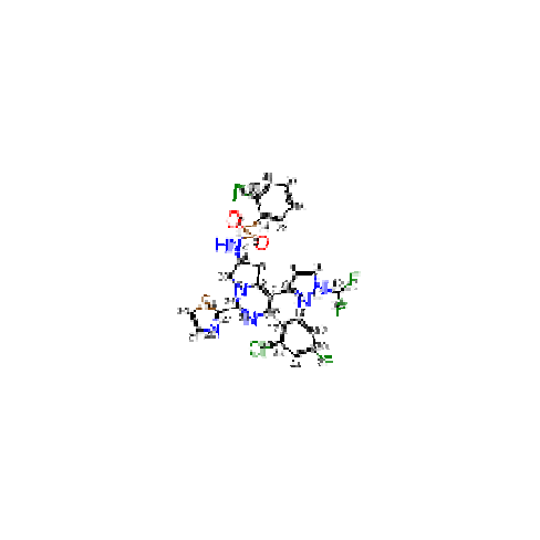 O=S(=O)(N[C@H]1CC2=C(c3ccn(C(F)F)n3)[C@H](c3ccc(F)cc3Cl)N=C(c3nccs3)N2C1)c1ccccc1F